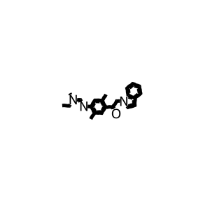 CCN(C)C=Nc1cc(C)c(C(=O)Cn2ccc3ccccc32)cc1C